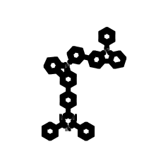 C1=CC2c3ccc(-c4cccc(-n5c6ccccc6c6cc(-c7ccc(-c8nc(-c9ccccc9)nc(-c9ccccc9)n8)cc7)ccc65)c4)cc3N(c3ccccc3)C2C=C1